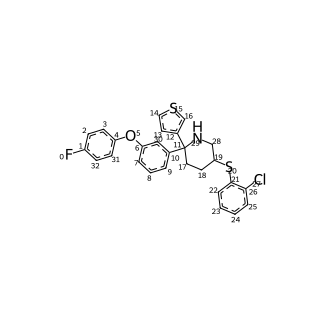 Fc1ccc(Oc2cccc(C3(c4ccsc4)CCC(Sc4ccccc4Cl)CN3)c2)cc1